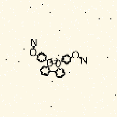 N#COc1ccc(OOOc2ccc(OC#N)cc2)cc1.c1ccc(-c2ccccc2)cc1